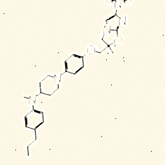 CCCc1ccc(N(C)C2CCN(c3ccc(OCC4(C)Cn5cc([N+](=O)[O-])nc5O4)cc3)CC2)cc1